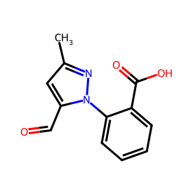 Cc1cc(C=O)n(-c2ccccc2C(=O)O)n1